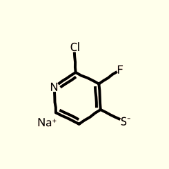 Fc1c([S-])ccnc1Cl.[Na+]